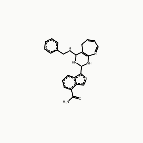 NC(=O)c1cccc2c(C3NC4=C(CC=CC=N4)C(NCc4ccccc4)N3)scc12